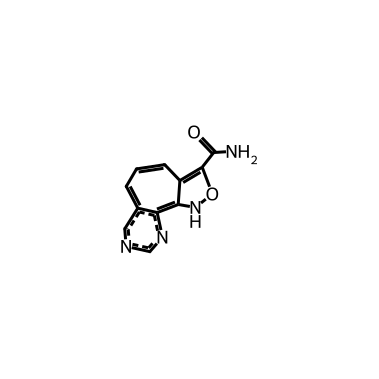 NC(=O)C1=C2C=CC=c3cncnc3=C2NO1